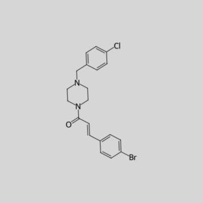 O=C(C=Cc1ccc(Br)cc1)N1CCN(Cc2ccc(Cl)cc2)CC1